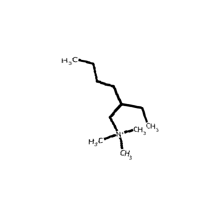 CCCCC(CC)C[N+](C)(C)C